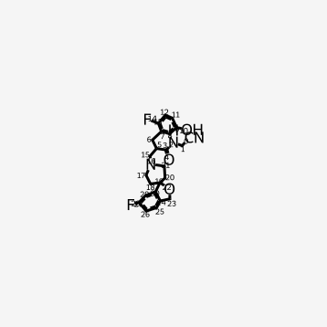 N#CCNC(=O)C(Cc1cc(O)ccc1F)CN1CCC2(CC1)OCc1ccc(F)cc12